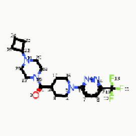 O=C(C1CCN(c2ccc(C(F)(F)F)nn2)CC1)N1CCN(C2CCC2)CC1